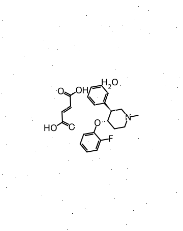 CN1CC[C@H](Oc2ccccc2F)[C@@H](c2ccccc2)C1.O.O=C(O)/C=C/C(=O)O